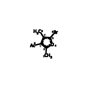 CC(=O)c1c(C)oc(Br)c1C